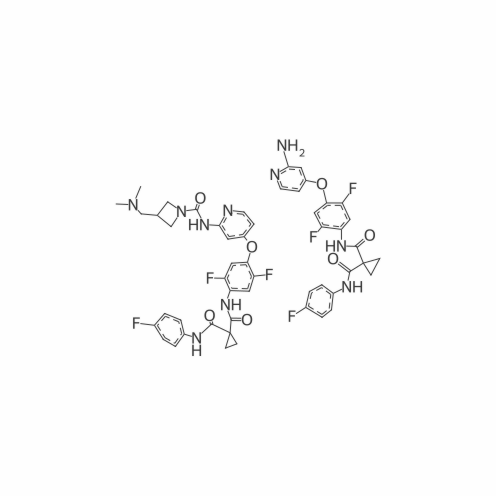 CN(C)CC1CN(C(=O)Nc2cc(Oc3cc(F)c(NC(=O)C4(C(=O)Nc5ccc(F)cc5)CC4)cc3F)ccn2)C1.Nc1cc(Oc2cc(F)c(NC(=O)C3(C(=O)Nc4ccc(F)cc4)CC3)cc2F)ccn1